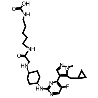 Cn1ncc(-c2nc(N[C@H]3CC[C@H](NCC(=O)NCCCCCNC(=O)O)CC3)ncc2F)c1CC1CC1